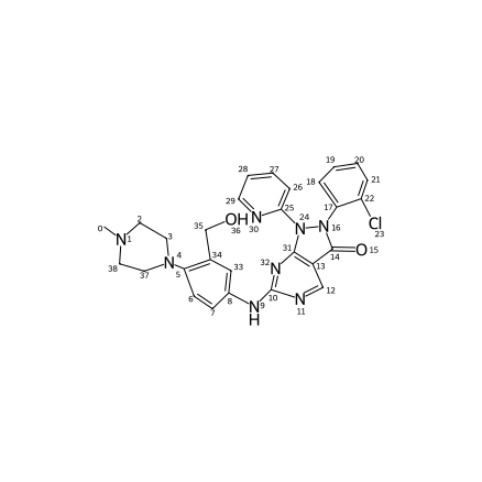 CN1CCN(c2ccc(Nc3ncc4c(=O)n(-c5ccccc5Cl)n(-c5ccccn5)c4n3)cc2CO)CC1